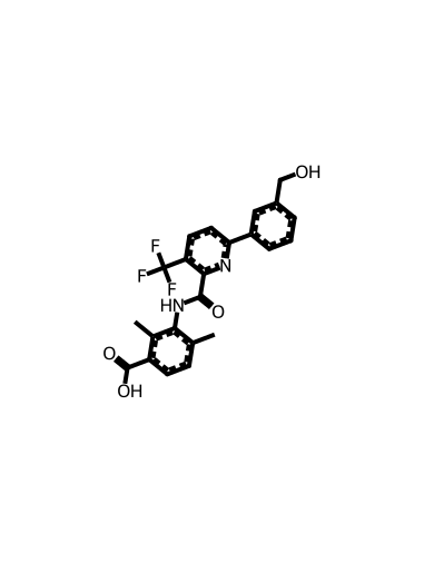 Cc1ccc(C(=O)O)c(C)c1NC(=O)c1nc(-c2cccc(CO)c2)ccc1C(F)(F)F